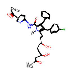 COC(=O)CC(O)CC(O)CCc1c(-c2ccc(F)cc2)c(-c2ccccc2)c(C(=O)Nc2ccc(C(=O)OC)cn2)n1C(C)C